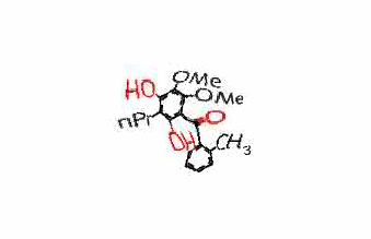 CCCc1c(O)c(OC)c(OC)c(C(=O)c2ccccc2C)c1O